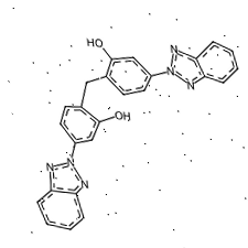 Oc1cc(-n2nc3ccccc3n2)ccc1Cc1ccc(-n2nc3ccccc3n2)cc1O